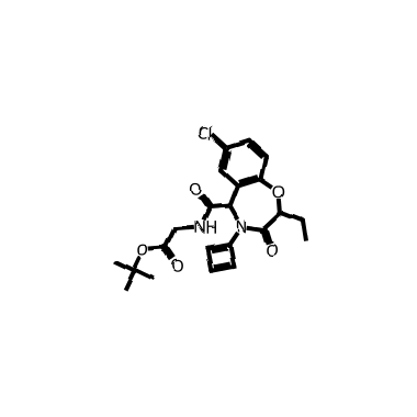 CCC1Oc2ccc(Cl)cc2C(C(=O)NCC(=O)OC(C)(C)C)N(C2=CC=C2)C1=O